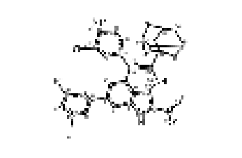 O=C([O-])c1[nH]c2cc(-c3cc(F)cc(F)c3)cc(Cc3cccc(Cl)c3)c2c1NC(=O)C12CC3CC(CC(C3)C1)C2.[Na+]